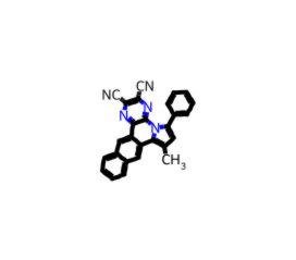 Cc1cc(-c2ccccc2)n2c3nc(C#N)c(C#N)nc3c3cc4ccccc4cc3c12